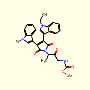 CCn1cc(C2=C(c3cn(CC#N)c4ccccc34)C(=O)N(C(C)C(=O)CNC(=O)OC(C)(C)C)C2=O)c2ccccc21